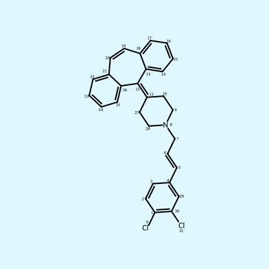 Clc1ccc(C=CCN2CCC(=C3c4ccccc4C=Cc4ccccc43)CC2)cc1Cl